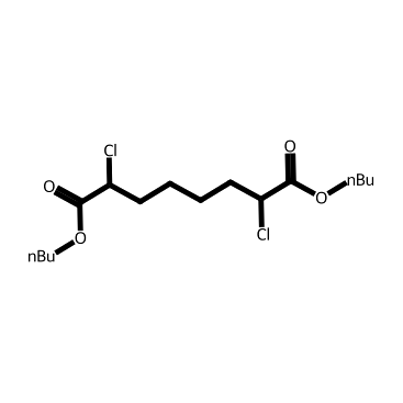 CCCCOC(=O)C(Cl)CCCCC(Cl)C(=O)OCCCC